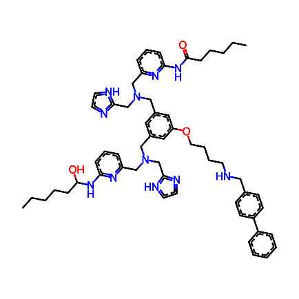 CCCCCC(=O)Nc1cccc(CN(Cc2cc(CN(Cc3cccc(NC(O)CCCCC)n3)Cc3ncc[nH]3)cc(OCCCCNCc3ccc(-c4ccccc4)cc3)c2)Cc2ncc[nH]2)n1